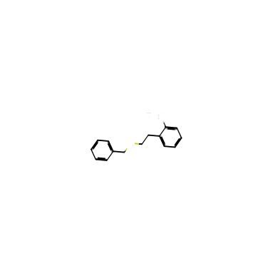 FC(F)(F)c1ccccc1CCSCc1ccccc1